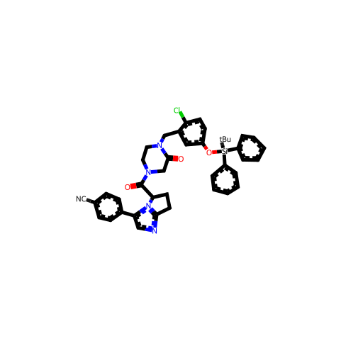 CC(C)(C)[Si](Oc1ccc(Cl)c(CN2CCN(C(=O)C3CCc4ncc(-c5ccc(C#N)cc5)n43)CC2=O)c1)(c1ccccc1)c1ccccc1